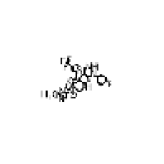 Cn1ncc(S(=O)(=O)N2CC[C@H]3CC(Nc4ccc(F)cc4)=C(C=N)C[C@]3(C(=O)c3cc(C(F)(F)F)ccn3)C2)n1